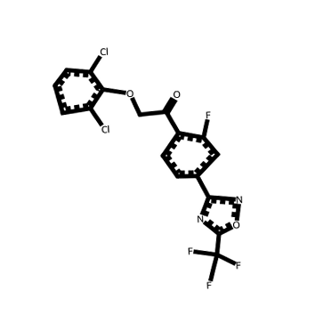 O=C(COc1c(Cl)cccc1Cl)c1ccc(-c2noc(C(F)(F)F)n2)cc1F